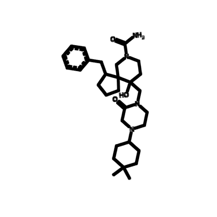 CC1(C)CCC(N2CCN(CC3(O)CCN(C(N)=O)CC34CCCC4Cc3ccccc3)C(=O)C2)CC1